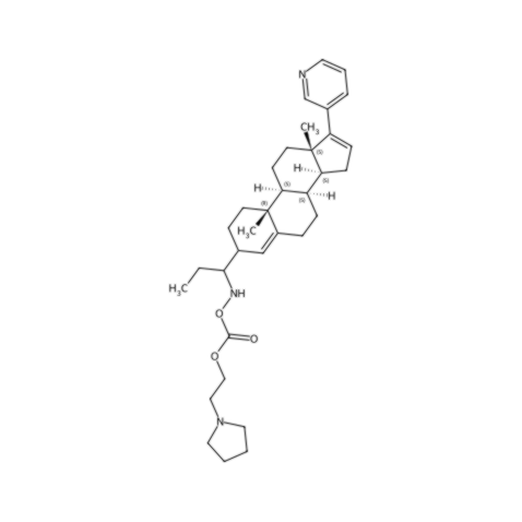 CCC(NOC(=O)OCCN1CCCC1)C1C=C2CC[C@H]3[C@H](CC[C@]4(C)C(c5cccnc5)=CC[C@@H]34)[C@@]2(C)CC1